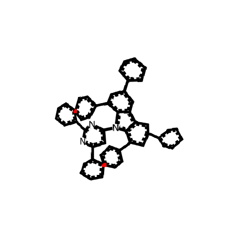 c1ccc(-c2cc(-c3ccccc3)c3c(c2)c2cc(-c4ccccc4)cc(-c4ccccc4)c2n3-c2cc(-c3ccccc3)nc(-c3ccccc3)n2)cc1